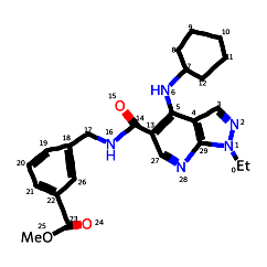 CCn1ncc2c(NC3CCCCC3)c(C(=O)NCc3cccc(C(=O)OC)c3)cnc21